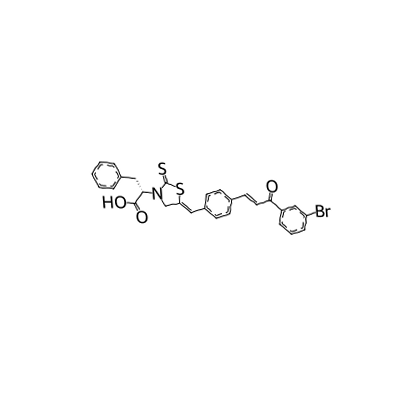 O=C(/C=C/c1ccc(/C=C2/CN([C@@H](Cc3ccccc3)C(=O)O)C(=S)S2)cc1)c1cccc(Br)c1